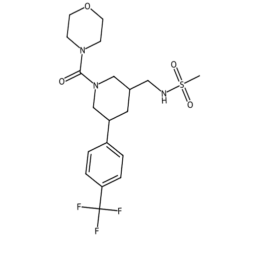 CS(=O)(=O)NCC1CC(c2ccc(C(F)(F)F)cc2)CN(C(=O)N2CCOCC2)C1